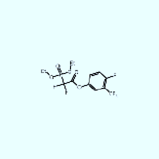 CCOP(=O)(OCC)C(F)(F)C(=O)Oc1ccc(F)c(C(F)(F)F)c1